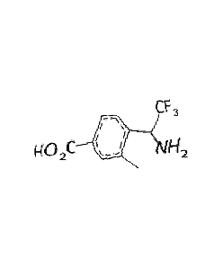 Cc1cc(C(=O)O)ccc1C(N)C(F)(F)F